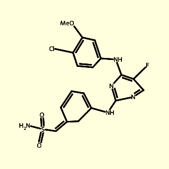 COc1cc(Nc2nc(NC3=CC=CC(=CS(N)(=O)=O)C3)ncc2F)ccc1Cl